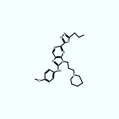 CCCc1nnc(-c2ncc3nc(Nc4ccc(OC)cc4)n(CCCN4CCCCC4)c3n2)o1